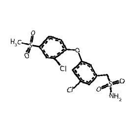 CS(=O)(=O)c1ccc(Oc2cc(Cl)cc(CS(N)(=O)=O)c2)c(Cl)c1